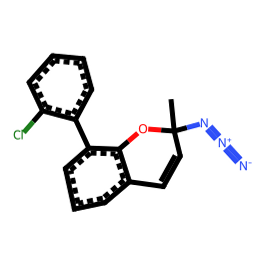 CC1(N=[N+]=[N-])C=Cc2cccc(-c3ccccc3Cl)c2O1